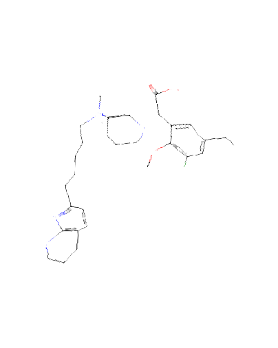 CCc1cc(F)c(OC)c([C@@H](C(=O)O)N2CC[C@@H](N(C)CCCCCc3ccc4c(n3)NCCC4)C2)c1